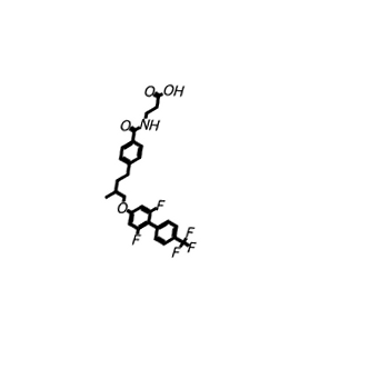 CC(CCc1ccc(C(=O)NCCC(=O)O)cc1)COc1cc(F)c(-c2ccc(C(F)(F)F)cc2)c(F)c1